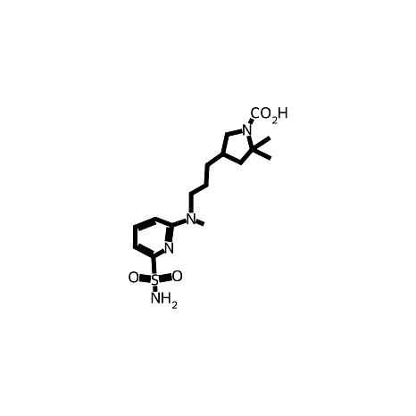 CN(CCCC1CN(C(=O)O)C(C)(C)C1)c1cccc(S(N)(=O)=O)n1